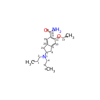 CCCN(CCC)[C@@H]1Cc2cc(OCC)c(C(N)=O)cc2C1